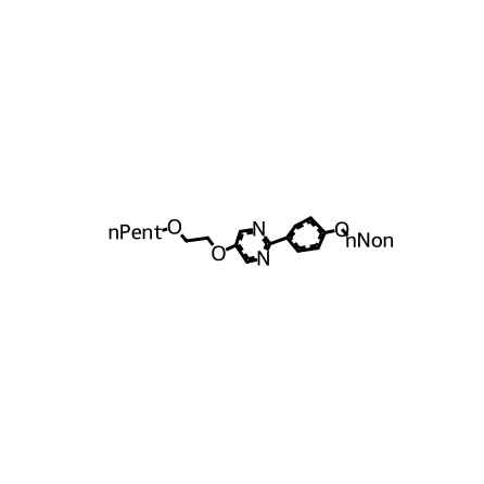 CCCCCCCCCOc1ccc(-c2ncc(OCCOCCCCC)cn2)cc1